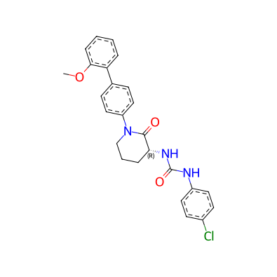 COc1ccccc1-c1ccc(N2CCC[C@@H](NC(=O)Nc3ccc(Cl)cc3)C2=O)cc1